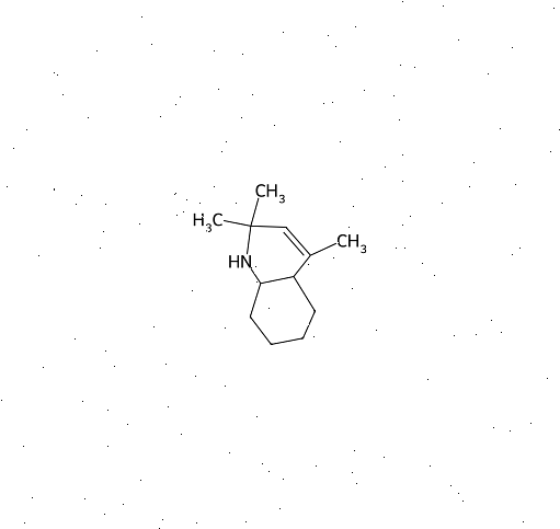 CC1=CC(C)(C)NC2CCCCC12